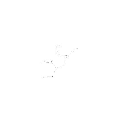 CCCCCN1CC(=O)N(C)C1=O